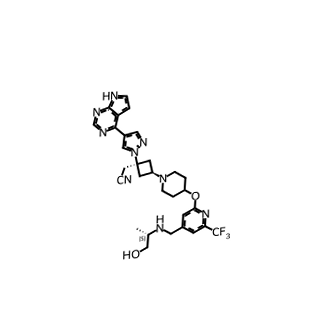 C[C@@H](CO)NCc1cc(OC2CCN([C@H]3C[C@@](CC#N)(n4cc(-c5ncnc6[nH]ccc56)cn4)C3)CC2)nc(C(F)(F)F)c1